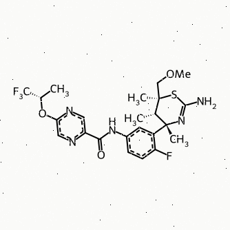 COC[C@@]1(C)SC(N)=N[C@](C)(c2cc(NC(=O)c3cnc(O[C@@H](C)C(F)(F)F)cn3)ccc2F)[C@@H]1C